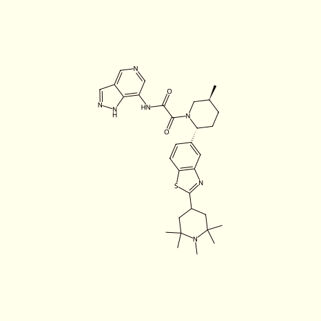 C[C@H]1CC[C@H](c2ccc3sc(C4CC(C)(C)N(C)C(C)(C)C4)nc3c2)N(C(=O)C(=O)Nc2cncc3cn[nH]c23)C1